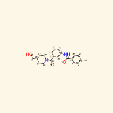 Cc1ccc(C(=O)Nc2c[c]cc(C(=O)N3CCC(CO)CC3)c2)cc1